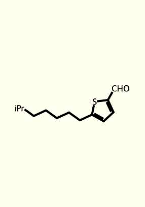 CC(C)CCCCCc1ccc(C=O)s1